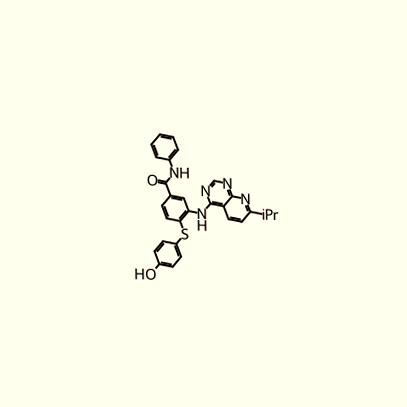 CC(C)c1ccc2c(Nc3cc(C(=O)Nc4ccccc4)ccc3Sc3ccc(O)cc3)ncnc2n1